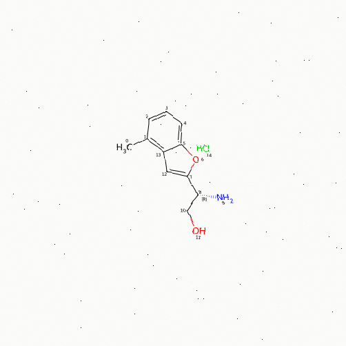 Cc1cccc2oc([C@H](N)CO)cc12.Cl